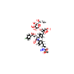 COC(=O)[C@H]1OC(OCC(O)(CO)CCc2ccc([C@@H]3[C@@H](CC[C@H](O)c4ccc(F)cc4)C(=O)N3c3ccc(CCCNS(C)(=O)=O)cc3)cc2)[C@H](O)[C@@H](O)[C@@H]1O